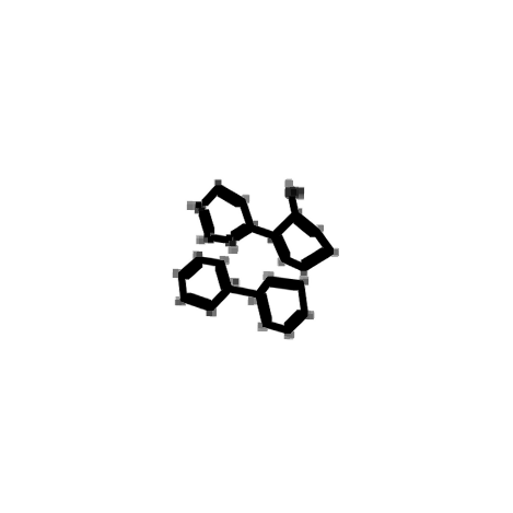 Oc1ccccc1-c1ccnnn1.c1ccc(-c2ccccc2)cc1